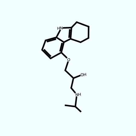 CC(C)NCC(O)COc1cccc2[nH]c3c(c12)CCCC3